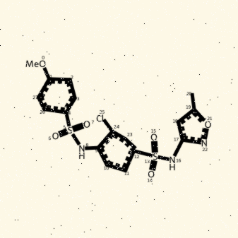 COc1ccc(S(=O)(=O)Nc2ccc(S(=O)(=O)Nc3cc(C)on3)cc2Cl)cc1